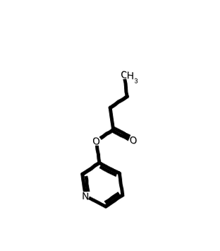 CCCC(=O)Oc1cccnc1